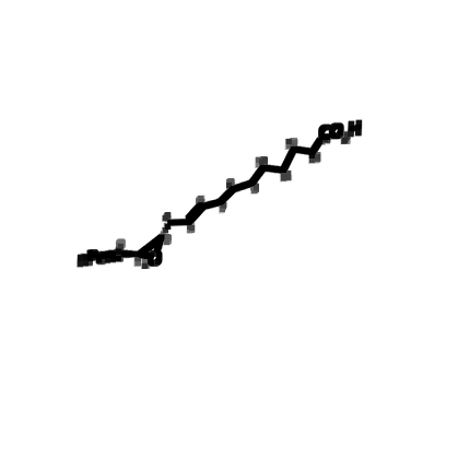 CCCCC[C@@H]1O[C@H]1CC=CCCCCCCCC(=O)O